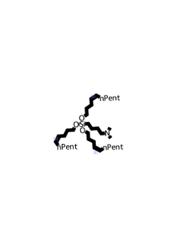 CCCCC/C=C\CCCO[Si](CCCCN(C)C)(OCCC/C=C\CCCCC)OCCC/C=C\CCCCC